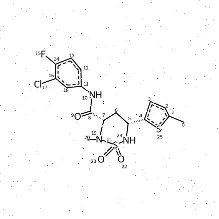 Cc1ccc([C@H]2C[C@@H](C(=O)Nc3ccc(F)c(Cl)c3)N(C)S(=O)(=O)N2)s1